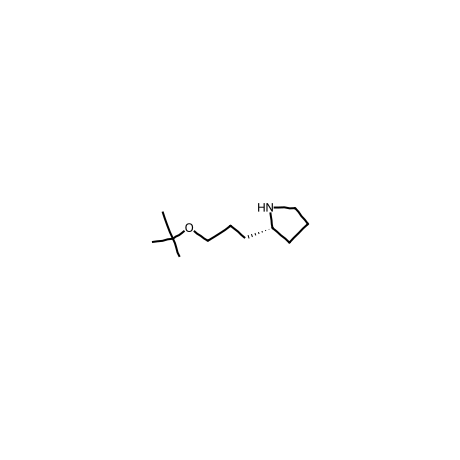 CC(C)(C)OCCC[C@H]1CCCN1